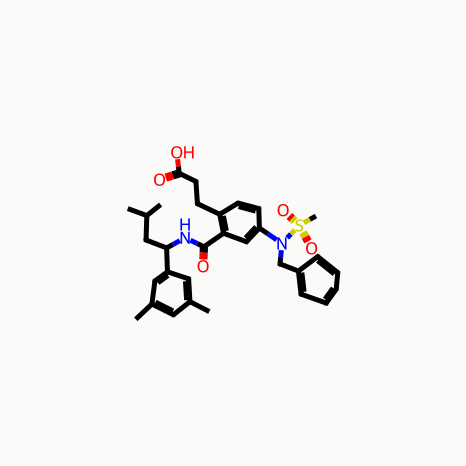 Cc1cc(C)cc(C(CC(C)C)NC(=O)c2cc(N(Cc3ccccc3)S(C)(=O)=O)ccc2CCC(=O)O)c1